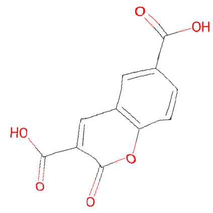 O=C(O)c1ccc2oc(=O)c(C(=O)O)cc2c1